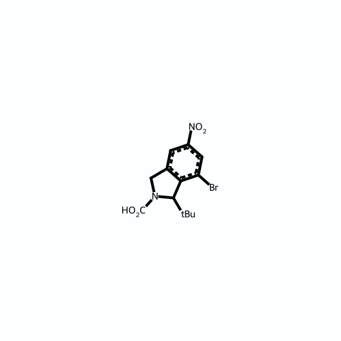 CC(C)(C)C1c2c(Br)cc([N+](=O)[O-])cc2CN1C(=O)O